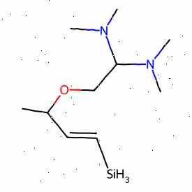 CC(C=C[SiH3])OCC(N(C)C)N(C)C